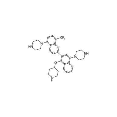 FC(F)(F)c1ccc(N2CCNCC2)c2ccc(-c3cc(N4CCNCC4)c4ccccc4c3OC3CCNCC3)cc12